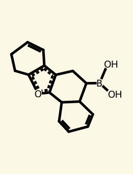 OB(O)C1Cc2c(oc3c2C=CCC3)C2C=CC=CC12